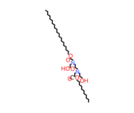 CCCCCCCCCCCCCCCCCCCCCOC(=O)CN(CCCN(CCCO)CC(=C=O)OCCCCCCCCCCC)CC(=O)O